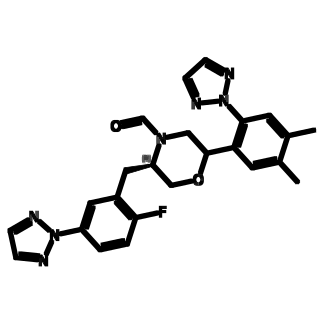 Cc1cc(C2CN(C=O)[C@H](Cc3cc(-n4nccn4)ccc3F)CO2)c(-n2nccn2)cc1C